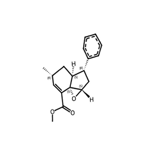 COC(=O)C1=C[C@H](C)C[C@H]2[C@H](c3ccccc3)C[C@@H]3O[C@@]132